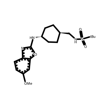 COc1ccc2nc(N[C@H]3CC[C@H](CNS(=O)(=O)C(C)(C)C)CC3)oc2c1